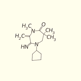 C=C1C(=N)N(C2CCCC2)CC(C)(C)C(=O)N1C